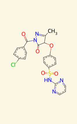 CC1=NN(C(=O)c2ccc(Cl)cc2)C(=O)C1Oc1ccc(S(=O)(=O)Nc2ncccn2)cc1